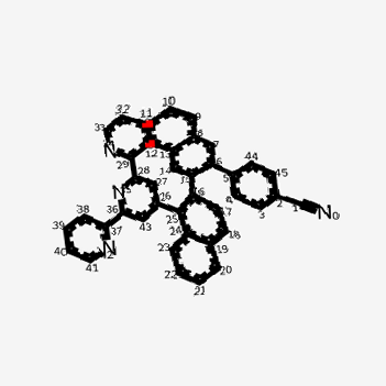 N#Cc1ccc(-c2cc3ccccc3cc2-c2ccc3ccccc3c2-c2cc(-c3ccccn3)nc(-c3ccccn3)c2)cc1